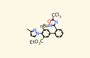 CCCCc1cc(-c2ccccc2-c2noc(C(Cl)(Cl)Cl)n2)cc(C(=O)OCC)c1-n1ccc(C)n1